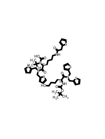 CC(C)(C)N(C(=O)O)[C@@H](CCCCNC(=O)Cc1cccs1)C(=O)N(Cc1cccs1)Cc1cccs1.CC(C)(C)OC(=O)N[C@@H](CCCCO)C(=O)N(Cc1cccs1)Cc1cccs1